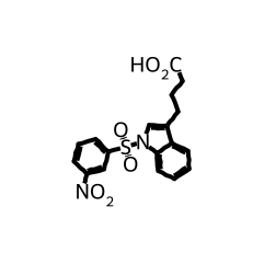 O=C(O)CCCc1cn(S(=O)(=O)c2cccc([N+](=O)[O-])c2)c2ccccc12